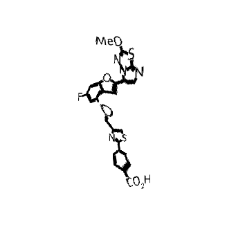 COc1nn2c(-c3cc4c(OCc5csc(-c6ccc(C(=O)O)cc6)n5)cc(F)cc4o3)cnc2s1